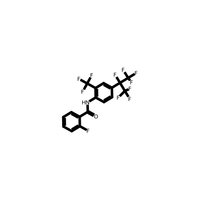 O=C(Nc1ccc(C(F)(C(F)(F)F)C(F)(F)F)cc1C(F)(F)F)c1ccccc1F